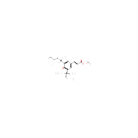 CCCCC(C)(C)c1cc(C=CC(=O)OCC)cc(C(C)(C)CC)c1O